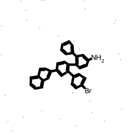 Nc1ccc(-c2ccc(-c3ccc4ccccc4c3)cc2-c2ccc(Br)cc2)c(-c2ccccc2)c1